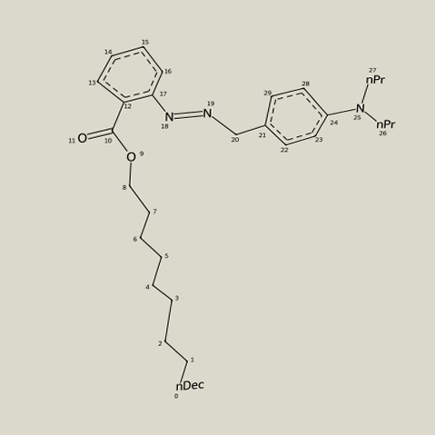 CCCCCCCCCCCCCCCCCCOC(=O)c1ccccc1N=NCc1ccc(N(CCC)CCC)cc1